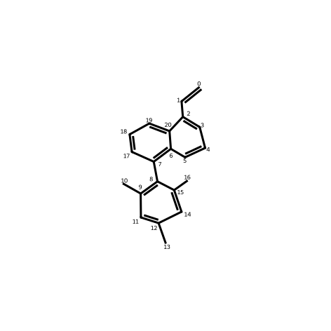 C=Cc1cccc2c(-c3c(C)cc(C)cc3C)cccc12